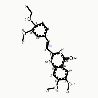 CCOc1ccc(/C=C/c2nc3cc(OC)c(OC)cc3c(=O)o2)cc1OC